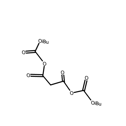 CC(C)COC(=O)OC(=O)CC(=O)OC(=O)OCC(C)C